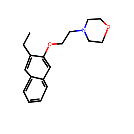 CCc1cc2ccccc2cc1OCCN1CCOCC1